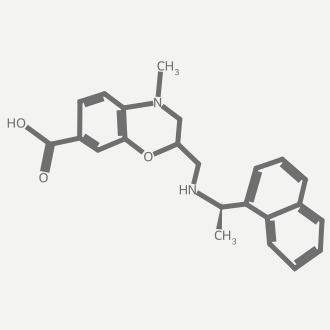 C[C@@H](NCC1CN(C)c2ccc(C(=O)O)cc2O1)c1cccc2ccccc12